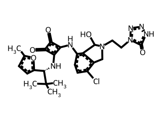 Cc1ccc([C@H](Nc2c(Nc3ccc(Cl)c4c3C(O)N(CCn3nn[nH]c3=O)C4)c(=O)c2=O)C(C)(C)C)o1